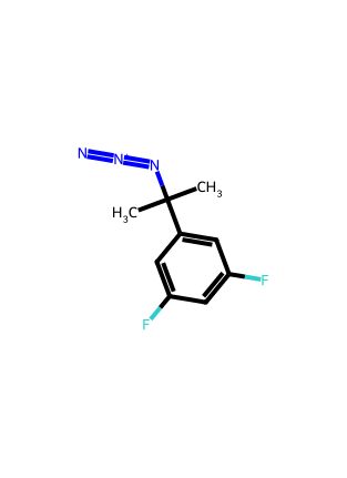 CC(C)(N=[N+]=[N-])c1cc(F)cc(F)c1